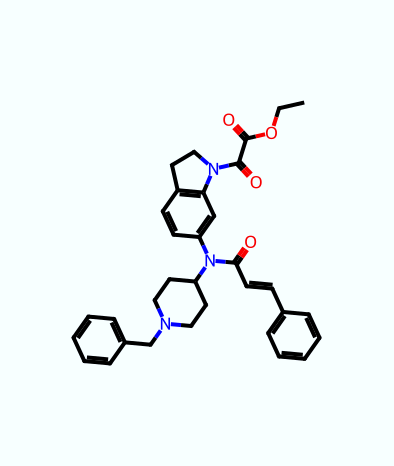 CCOC(=O)C(=O)N1CCc2ccc(N(C(=O)/C=C/c3ccccc3)C3CCN(Cc4ccccc4)CC3)cc21